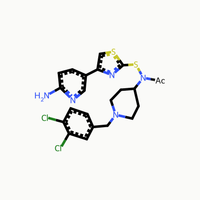 CC(=O)N(Sc1nc(-c2ccc(N)nc2)cs1)C1CCN(Cc2ccc(Cl)c(Cl)c2)CC1